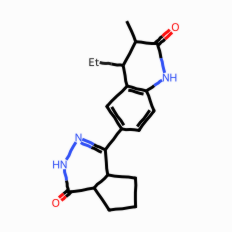 CCC1c2cc(C3=NNC(=O)C4CCCC34)ccc2NC(=O)C1C